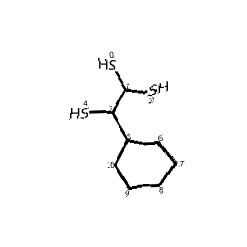 SC(S)C(S)C1CCCCC1